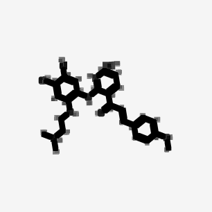 COc1ccc(C=CC(=O)c2cccnc2Oc2cc(Cl)c(Cl)cc2OCCN(C)C)cc1.Cl